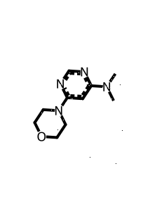 CN(C)c1cc(N2CCOCC2)ncn1